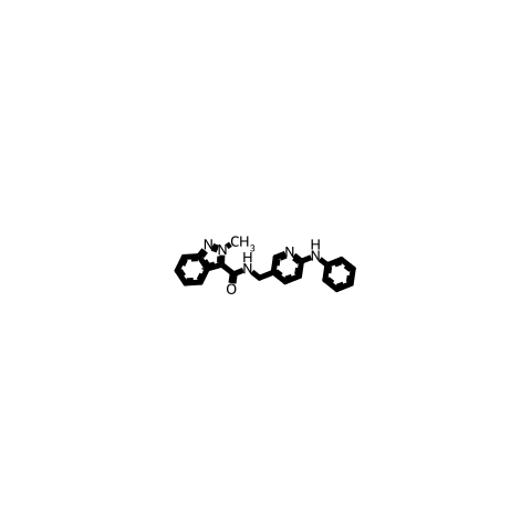 Cn1nc2ccccc2c1C(=O)NCc1ccc(Nc2ccccc2)nc1